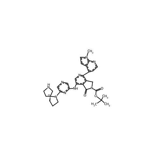 Cn1ccc2c(-c3ncc(Nc4cncc(N5CCC[C@]56CCNC6)n4)c4c3CN(C(=O)OC(C)(C)C)C4=O)ccnc21